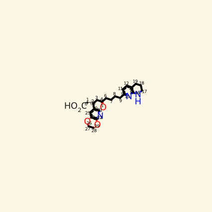 O=C(O)C[C@H](CC(=O)CCCCc1ccc2c(n1)NCCC2)c1cnc2c(c1)OCCO2